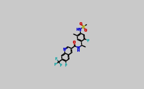 Cc1cc(C(C)NC(=O)c2cnc3cc(C(F)(F)F)c(F)cc3c2)c(F)cc1NS(C)(=O)=O